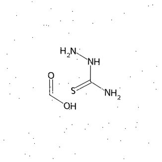 NNC(N)=S.O=CO